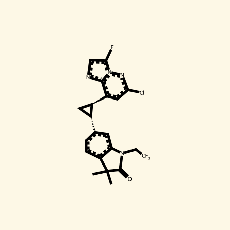 CC1(C)C(=O)N(CC(F)(F)F)c2cc([C@@H]3C[C@H]3c3cc(Cl)nn4c(F)cnc34)ccc21